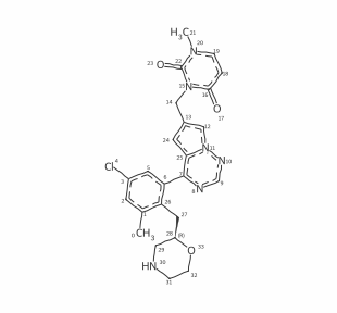 Cc1cc(Cl)cc(-c2ncnn3cc(Cn4c(=O)ccn(C)c4=O)cc23)c1C[C@@H]1CNCCO1